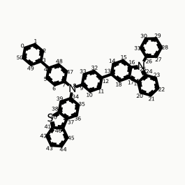 c1ccc(-c2ccc(N(c3ccc(-c4ccc5c(c4)c4ccccc4n5-c4ccccc4)cc3)c3ccc4c(c3)sc3ccccc34)cc2)cc1